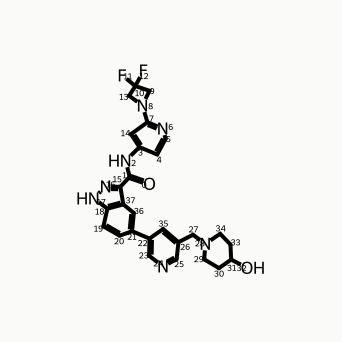 O=C(Nc1ccnc(N2CC(F)(F)C2)c1)c1n[nH]c2ccc(-c3cncc(CN4CCC(O)CC4)c3)cc12